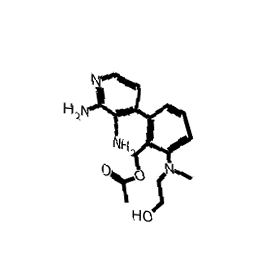 CC(=O)OCc1c(-c2ccnc(N)c2N)cccc1N(C)CCO